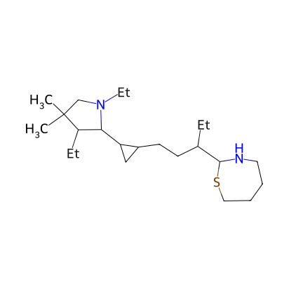 CCC(CCC1CC1C1C(CC)C(C)(C)CN1CC)C1NCCCCS1